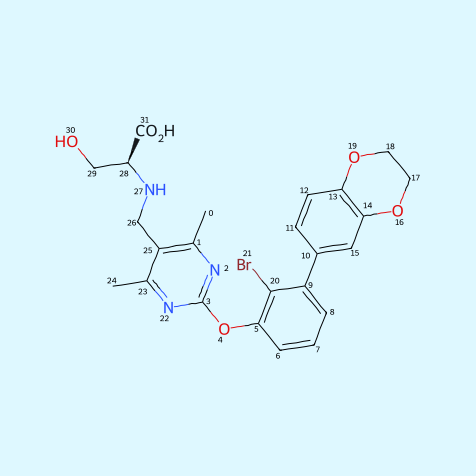 Cc1nc(Oc2cccc(-c3ccc4c(c3)OCCO4)c2Br)nc(C)c1CN[C@@H](CO)C(=O)O